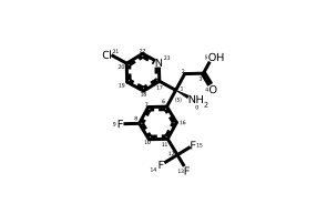 N[C@@](CC(=O)O)(c1cc(F)cc(C(F)(F)F)c1)c1ccc(Cl)cn1